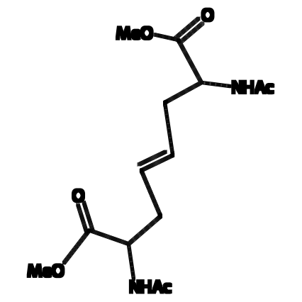 COC(=O)C(CC=CCC(NC(C)=O)C(=O)OC)NC(C)=O